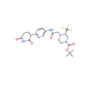 CC(C)(C)OC(=O)N1CCN(CC(=O)Nc2ccc(C3CCC(=O)NC3=O)nc2)[C@@H](C(F)(F)F)C1